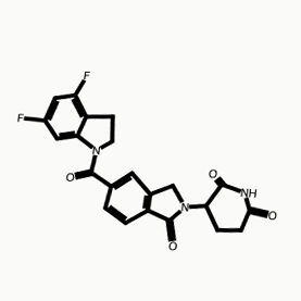 O=C1CCC(N2Cc3cc(C(=O)N4CCc5c(F)cc(F)cc54)ccc3C2=O)C(=O)N1